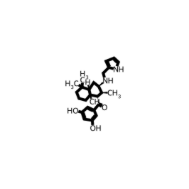 C[C@@H]1[C@H](NCc2ccc[nH]2)C[C@H]2C(C)(C)CCC[C@@]2(C)[C@H]1C(=O)c1cc(O)cc(O)c1